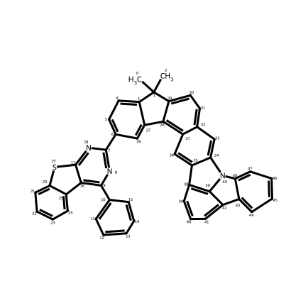 CC1(C)c2ccc(-c3nc(-c4ccccc4)c4c(n3)sc3ccccc34)cc2-c2c1ccc1cc3c(cc21)c1cccc2c4ccccc4n3c21